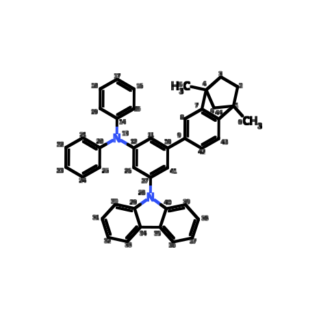 CC12CCC(C)(C1)c1cc(-c3cc(N(c4ccccc4)c4ccccc4)cc(-n4c5ccccc5c5ccccc54)c3)ccc12